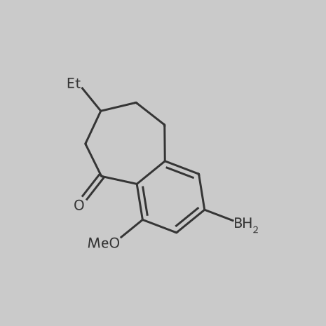 Bc1cc2c(c(OC)c1)C(=O)CC(CC)CC2